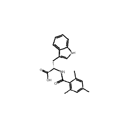 Cc1cc(C)c(C(=O)N[C@@H](Cc2c[nH]c3ccccc23)C(=O)O)c(C)c1